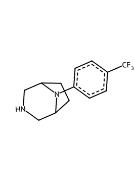 FC(F)(F)c1ccc(N2C3CCC2CNC3)cc1